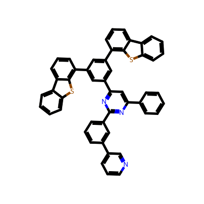 c1ccc(-c2cc(-c3cc(-c4cccc5c4sc4ccccc45)cc(-c4cccc5c4sc4ccccc45)c3)nc(-c3cccc(-c4cccnc4)c3)n2)cc1